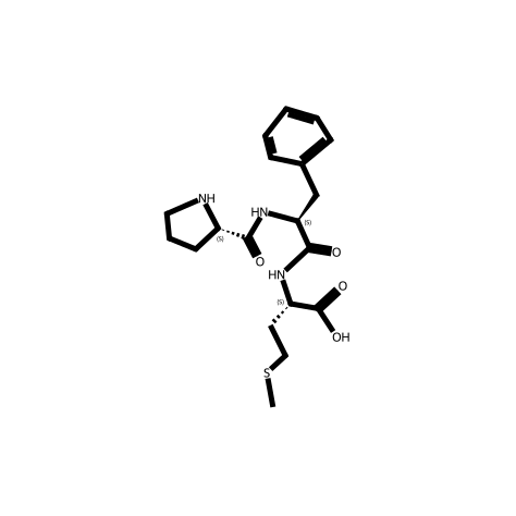 CSCC[C@H](NC(=O)[C@H](Cc1ccccc1)NC(=O)[C@@H]1CCCN1)C(=O)O